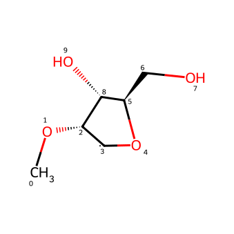 CO[C@H]1[CH]O[C@H](CO)[C@H]1O